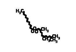 CC=CCCC=CCCC=CC(=O)OC(=O)C=C(C)CCC=C(C)CCC=C(C)C